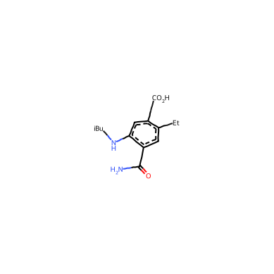 CCc1cc(C(N)=O)c(NC(C)CC)cc1C(=O)O